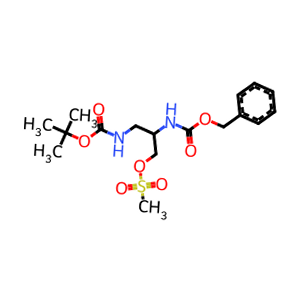 CC(C)(C)OC(=O)NCC(COS(C)(=O)=O)NC(=O)OCc1ccccc1